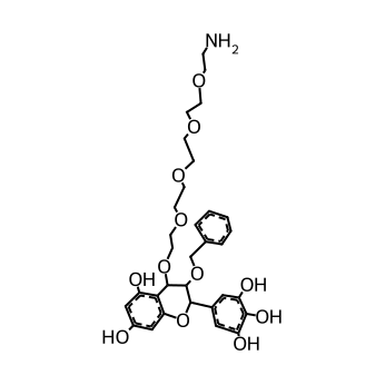 NCCOCCOCCOCCOCCOC1c2c(O)cc(O)cc2OC(c2cc(O)c(O)c(O)c2)C1OCc1ccccc1